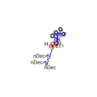 CCCCCCCCCCCCN(CCCCCCCCCCCC)CCCN(CCCCCCCCCCCC)CCCCCC(=O)OC(C)(C)Cn1c(COCC)nc2c(NC(c3ccccc3)(c3ccccc3)c3ccccc3)nc3ccccc3c21